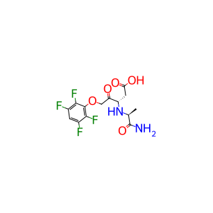 C[C@H](N[C@@H](CC(=O)O)C(=O)COc1c(F)c(F)cc(F)c1F)C(N)=O